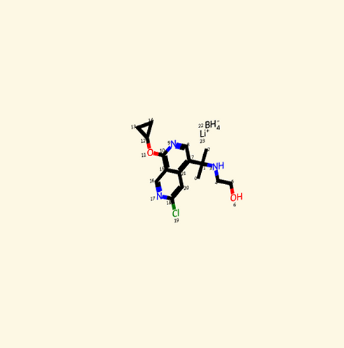 CC(C)(NCCO)c1cnc(OC2CC2)c2cnc(Cl)cc12.[BH4-].[Li+]